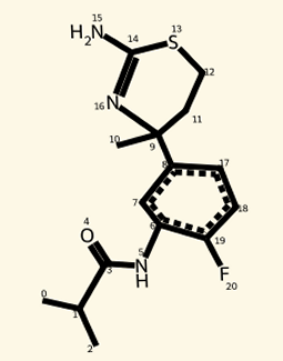 CC(C)C(=O)Nc1cc(C2(C)CCSC(N)=N2)ccc1F